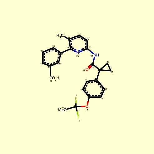 COC(F)(F)Oc1ccc(C2(C(=O)Nc3ccc(C)c(-c4cccc(C(=O)O)c4)n3)CC2)cc1